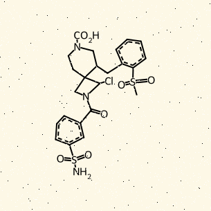 CS(=O)(=O)c1ccccc1CC1CN(C(=O)O)CCC12CN(C(=O)c1cccc(S(N)(=O)=O)c1)C2Cl